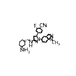 Cn1ncc2cc(-n3nc(NC[C@H]4CCC[C@H](N)C4)cc3-c3ccc(C#N)c(F)c3)ccc21